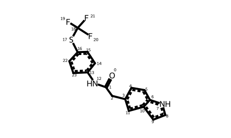 O=C(Cc1ccc2[nH]ccc2c1)Nc1ccc(SC(F)(F)F)cc1